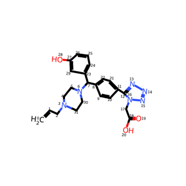 C=CCN1CCN(C(c2ccc(-c3nnnn3CC(=O)O)cc2)c2cccc(O)c2)CC1